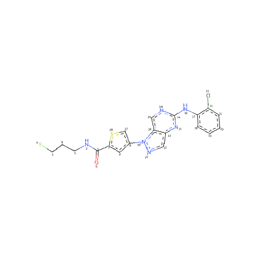 O=C(NCCCF)c1cc(-n2ncc3nc(Nc4ccccc4Cl)ncc32)cs1